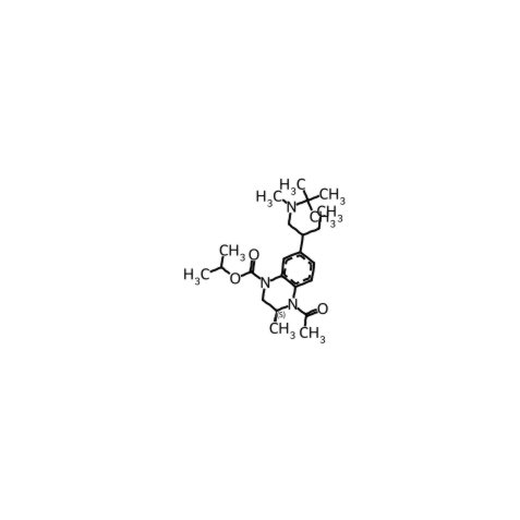 CCC(CN(C)C(C)(C)C)c1ccc2c(c1)N(C(=O)OC(C)C)C[C@H](C)N2C(C)=O